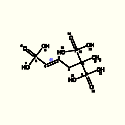 CC(C/C=C/P(=O)(O)O)(P(=O)(O)O)P(=O)(O)O